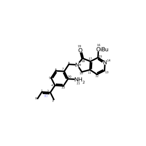 C/C=C(\C)c1ccc(CN2Cc3ccnc(OCC(C)C)c3C2=O)c(N)c1